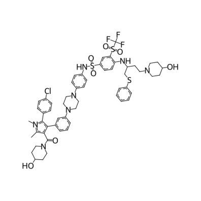 Cc1c(C(=O)N2CCC(O)CC2)c(-c2cccc(N3CCN(c4ccc(NS(=O)(=O)c5ccc(NC(CCN6CCC(O)CC6)CSc6ccccc6)c(S(=O)(=O)C(F)(F)F)c5)cc4)CC3)c2)c(-c2ccc(Cl)cc2)n1C